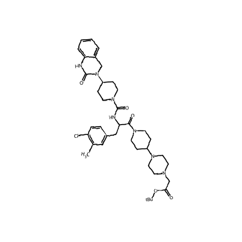 Cc1cc(CC(NC(=O)N2CCC(N3Cc4ccccc4NC3=O)CC2)C(=O)N2CCC(N3CCN(CC(=O)OC(C)(C)C)CC3)CC2)ccc1Cl